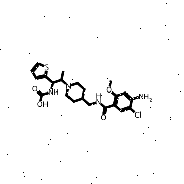 COc1cc(N)c(Cl)cc1C(=O)NCC1CCN(C(C)C(NC(=O)O)c2cccs2)CC1